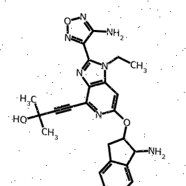 CCn1c(-c2nonc2N)nc2c(C#CC(C)(C)O)nc(OC3Cc4ccccc4C3N)cc21